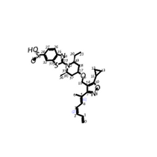 C=C/C=C\C=C(/C)c1noc(C2CC2)c1COC1C[C@H](CC)N(c2nc3ccc(S(=O)O)cc3s2)[C@H](C)C1